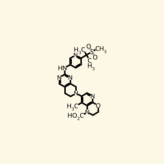 Cc1c(N2CCc3cnc(Nc4ccc(C(C)(C)S(C)(=O)=O)nc4)nc3C2)cnc2c1N(C(=O)O)CCO2